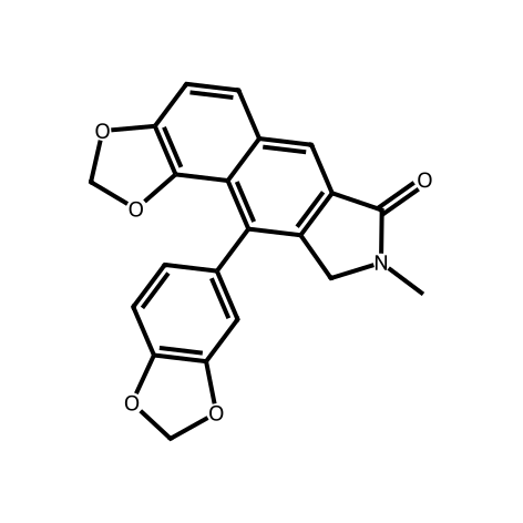 CN1Cc2c(cc3ccc4c(c3c2-c2ccc3c(c2)OCO3)OCO4)C1=O